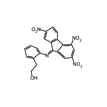 O=[N+]([O-])c1ccc2c(c1)C(=Nc1ccccc1CCO)c1cc([N+](=O)[O-])cc([N+](=O)[O-])c1-2